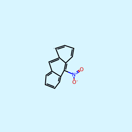 O=[N+]([O-])c1c2ccc[c]c2cc2ccccc12